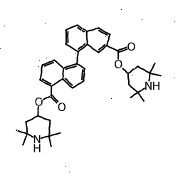 CC1(C)CC(OC(=O)c2ccc3cccc(-c4cccc5c(C(=O)OC6CC(C)(C)NC(C)(C)C6)cccc45)c3c2)CC(C)(C)N1